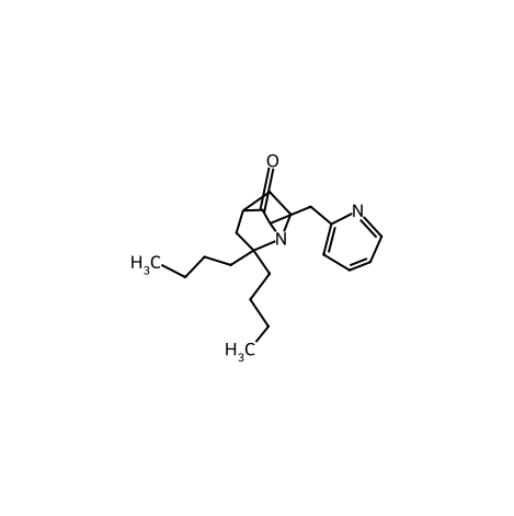 CCCCC1(CCCC)CC2CCN1C(Cc1ccccn1)C2=O